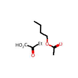 CCC(=O)C(=O)O.CCCCOC(C)=O